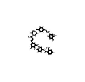 Cc1cc(C=CC(=O)N2CCN(Cc3ccc(CCOc4ccc(F)cc4)cc3)CC2)cc(Cl)c1Oc1ccc(OCc2ccccc2Cl)cn1.Cl